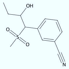 CCC(O)C(c1cccc(C#N)c1)S(C)(=O)=O